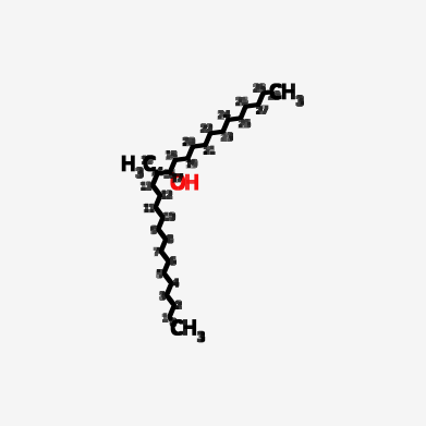 CCCCCCCCCCCCCCC(C)C(O)CCCCCCCCCCCC